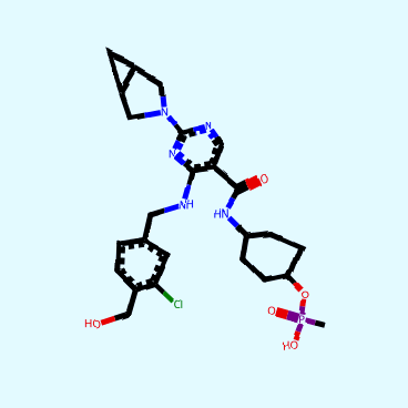 CP(=O)(O)OC1CCC(NC(=O)c2cnc(N3CC4CC4C3)nc2NCc2ccc(CO)c(Cl)c2)CC1